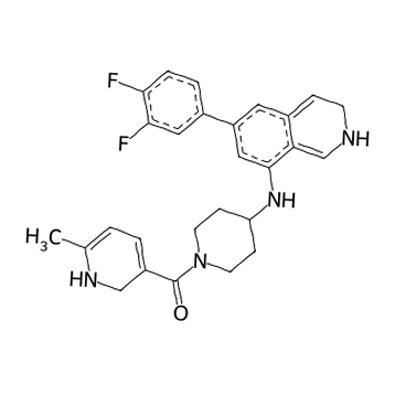 CC1=CC=C(C(=O)N2CCC(Nc3cc(-c4ccc(F)c(F)c4)cc4c3=CNCC=4)CC2)CN1